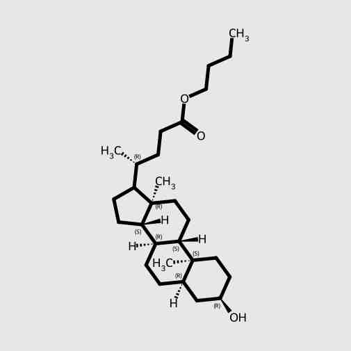 CCCCOC(=O)CC[C@@H](C)C1CC[C@H]2[C@@H]3CC[C@@H]4C[C@H](O)CC[C@]4(C)[C@H]3CC[C@]12C